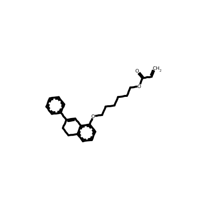 C=CC(=O)OCCCCCCOc1cccc2c1C=C(c1ccccc1)CC2